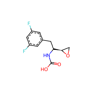 O=C(O)NC(Cc1cc(F)cc(F)c1)[C@H]1CO1